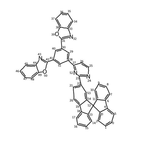 c1ccc2c(c1)-c1ccccc1C21c2ccccc2-c2ccc(-c3nccc(-c4cc(-c5nc6ccccc6o5)cc(-c5nc6ccccc6o5)c4)n3)cc21